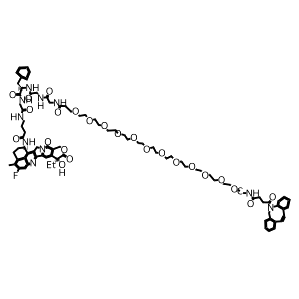 CC[C@@]1(O)C(=O)OCc2c1cc1n(c2=O)Cc2c-1nc1cc(F)c(C)c3c1c2[C@@H](NC(=O)CCCNC(=O)CNC(=O)[C@@H](Cc1ccccc1)NC(=O)CNC(=O)CNC(=O)CCOCCOCCOCCOCCOCCOCCOCCOCCOCCOCCOCCOCCNC(=O)CCC(=O)N1Cc2ccccc2C#Cc2ccccc21)CC3